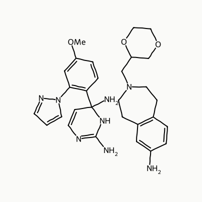 COc1ccc(C2(N)C=CN=C(N)N2)c(-n2cccn2)c1.Nc1ccc2c(c1)CCN(CC1COCCO1)CC2